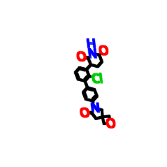 O=C1CCC(c2cccc(-c3ccc(N4CC5(COC5)CC4=O)cc3)c2Cl)C(=O)N1